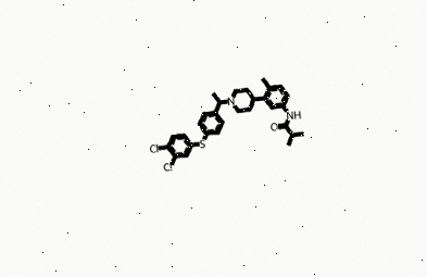 Cc1ccc(NC(=O)C(C)C)cc1C1CCN(C(C)c2ccc(Sc3ccc(Cl)c(Cl)c3)cc2)CC1